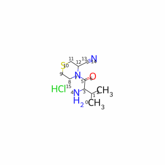 CC(C)C(N)C(=O)N1CCSCC1C#N.Cl